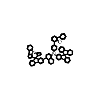 c1ccc2c(c1)-c1ccccc1C21c2ccccc2-c2ccc(N(c3ccc(-c4cccc5c4oc4ccccc45)cc3)c3ccc(-c4ccc5c(c4)C4(c6ccccc6-5)c5ccccc5-n5c6ccccc6c6cccc4c65)c4ccccc34)cc21